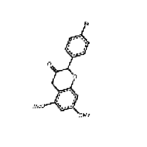 COc1cc(OC)c2c(c1)OC(c1ccc(Br)cc1)C(=O)C2